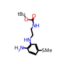 CSc1ccc(N)c(NCCNC(=O)OC(C)(C)C)c1